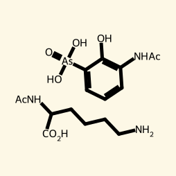 CC(=O)NC(CCCCN)C(=O)O.CC(=O)Nc1cccc([As](=O)(O)O)c1O